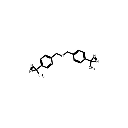 CC1(c2ccc(COCc3ccc(C4(C)N=N4)cc3)cc2)N=N1